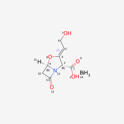 O=C(O)[C@H]1/C(=C/CO)O[C@@H]2CC(=O)N21.[BiH3]